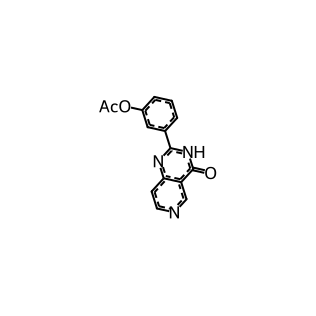 CC(=O)Oc1cccc(-c2nc3ccncc3c(=O)[nH]2)c1